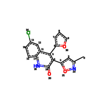 Cc1cc(-c2c(-c3ccco3)c3cc(Cl)ccc3[nH]c2=O)on1